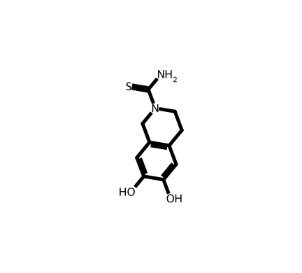 NC(=S)N1CCc2cc(O)c(O)cc2C1